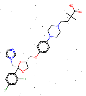 CC(C)(CCN1CCN(c2ccc(OC[C@@H]3CO[C@@](Cn4ccnc4)(c4ccc(Cl)cc4Cl)O3)cc2)CC1)C(=O)O